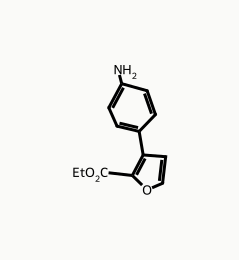 CCOC(=O)c1occc1-c1ccc(N)cc1